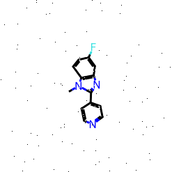 Cn1c(-c2ccncc2)nc2cc(F)ccc21